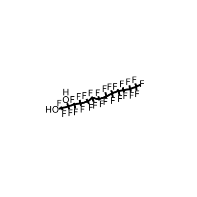 OC(F)(F)C(O)(F)C(F)(F)C(F)(F)C(F)(F)C(F)(F)C(F)(F)C(F)(F)C(F)(F)C(F)(F)C(F)(F)C(F)(F)C(F)(F)F